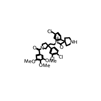 COc1cc(C(=O)N2CCC(CCNC(=O)C3(c4ccc(Cl)cc4)CCNCC3)(c3ccc(Cl)c(Cl)c3)C2)cc(OC)c1OC